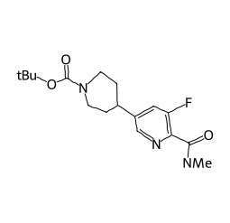 CNC(=O)c1ncc(C2CCN(C(=O)OC(C)(C)C)CC2)cc1F